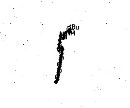 C#CCOCCOCCOCCOCCN1CCN(CCCc2cnc(CNC(=O)OC(C)(C)C)nc2)CC1